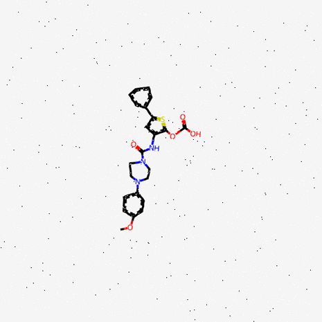 COc1ccc(N2CCN(C(=O)Nc3cc(-c4ccccc4)sc3OC(=O)O)CC2)cc1